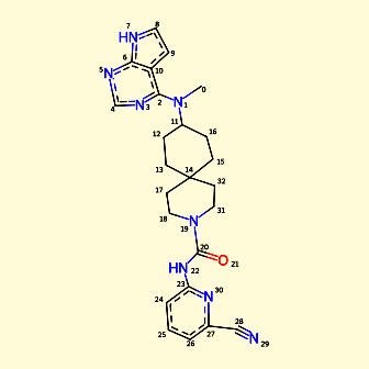 CN(c1ncnc2[nH]ccc12)C1CCC2(CC1)CCN(C(=O)Nc1cccc(C#N)n1)CC2